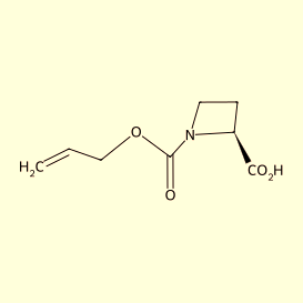 C=CCOC(=O)N1CC[C@H]1C(=O)O